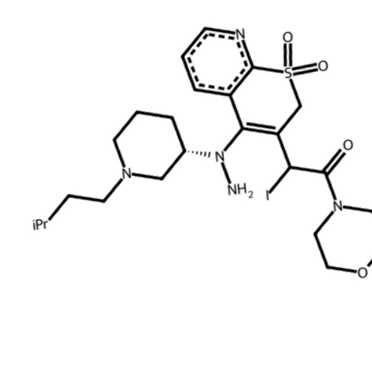 CC(C)CCN1CCC[C@H](N(N)C2=C(C(I)C(=O)N3CCOCC3)CS(=O)(=O)c3ncccc32)C1